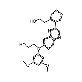 COc1cc(OC)cc(N(CCO)c2ccc3ncc(-c4ccccc4CCO)nc3c2)c1